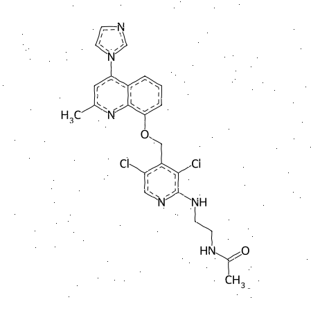 CC(=O)NCCNc1ncc(Cl)c(COc2cccc3c(-n4ccnc4)cc(C)nc23)c1Cl